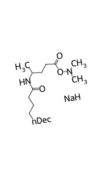 CCCCCCCCCCCCCC(=O)NC(C)CCC(=O)ON(C)C.[NaH]